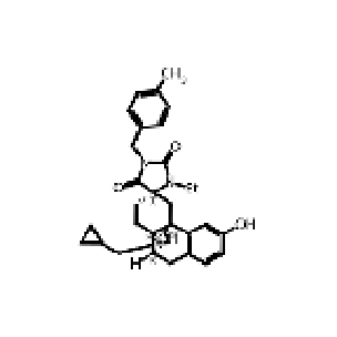 CCN1C(=O)N(Cc2ccc(C)cc2)C(=O)[C@@]12CC[C@@]1(O)[C@H]3Cc4ccc(O)cc4[C@@]1(CCN3CC1CC1)C2